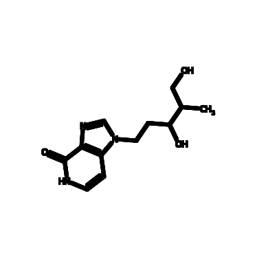 CC(CO)C(O)CCn1cnc2c(=O)[nH]ccc21